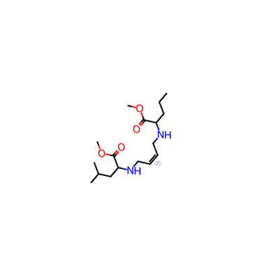 CCCC(NC/C=C\CNC(CC(C)C)C(=O)OC)C(=O)OC